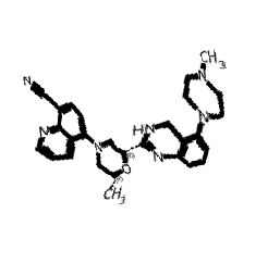 C[C@@H]1CN(c2ccc(C#N)c3ncccc23)C[C@H](C2=Nc3cccc(N4CCN(C)CC4)c3CN2)O1